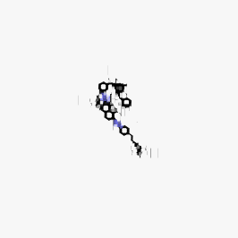 Cc1nc(Nc2ccccc2)nc(Nc2cccc(/N=N/c3c(S(=O)(=O)O)cc4ccc(/N=N/c5ccc(CCCOS(=O)(=O)O)cc5)c(N)c4c3O)c2)n1